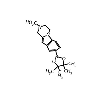 CC1(C)OB(c2ccc3c(c2)cc2n3CCN(C(=O)O)C2)OC1(C)C